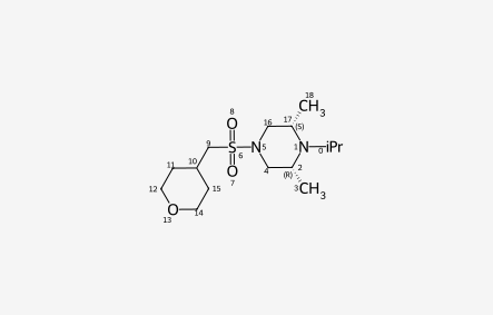 CC(C)N1[C@H](C)CN(S(=O)(=O)CC2CCOCC2)C[C@@H]1C